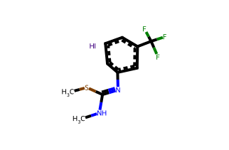 CNC(=Nc1cccc(C(F)(F)F)c1)SC.I